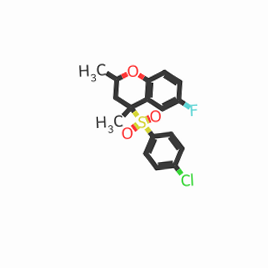 CC1CC(C)(S(=O)(=O)c2ccc(Cl)cc2)c2cc(F)ccc2O1